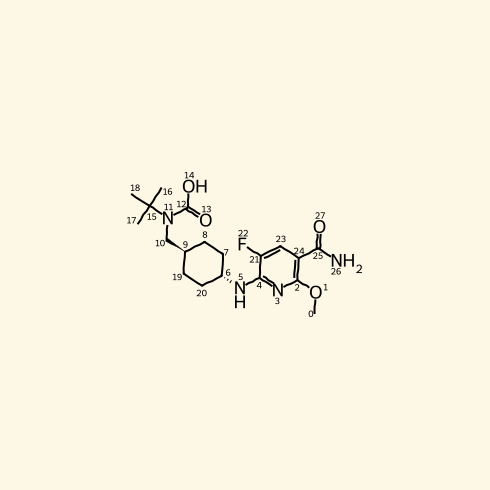 COc1nc(N[C@H]2CC[C@H](CN(C(=O)O)C(C)(C)C)CC2)c(F)cc1C(N)=O